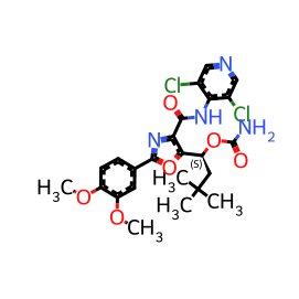 COc1ccc(-c2nc(C(=O)Nc3c(Cl)cncc3Cl)c([C@H](CC(C)(C)C)OC(N)=O)o2)cc1OC